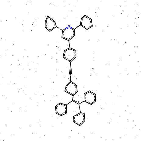 C(#Cc1ccc(-c2cc(-c3ccccc3)nc(-c3ccccc3)c2)cc1)c1ccc(C(=C(c2ccccc2)c2ccccc2)c2ccccc2)cc1